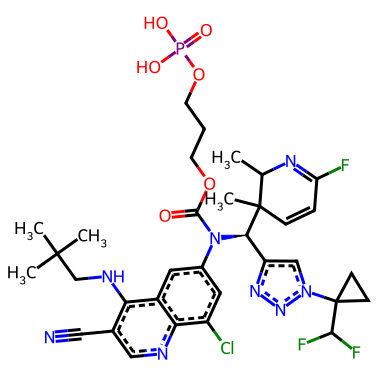 CC1N=C(F)C=CC1(C)[C@@H](c1cn(C2(C(F)F)CC2)nn1)N(C(=O)OCCCOP(=O)(O)O)c1cc(Cl)c2ncc(C#N)c(NCC(C)(C)C)c2c1